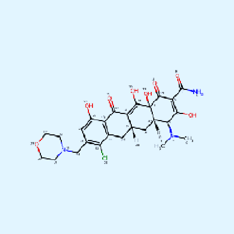 CN(C)[C@@H]1C(O)=C(C(N)=O)C(=O)[C@@]2(O)C(O)=C3C(=O)c4c(O)cc(CN5CCOCC5)c(Cl)c4C[C@H]3C[C@@H]12